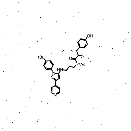 CC(=O)N(CCCNc1cc(-c2ccncc2)nn1-c1ccc(C(C)(C)C)cc1)C(=O)C(N)Cc1ccc(O)cc1